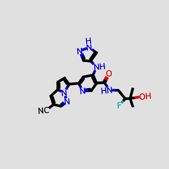 CC(C)(O)C(F)CNC(=O)c1cnc(-c2ccc3cc(C#N)cnn23)cc1Nc1cn[nH]c1